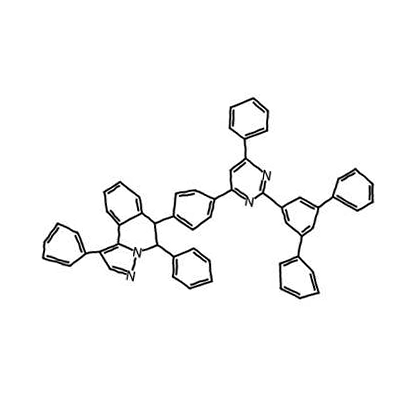 c1ccc(-c2cc(-c3ccccc3)cc(-c3nc(-c4ccccc4)cc(-c4ccc(C5c6ccccc6-c6c(-c7ccccc7)cnn6C5c5ccccc5)cc4)n3)c2)cc1